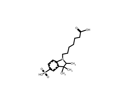 CC1N(CCCCCCC(=O)O)c2ccc(S(=O)(=O)O)cc2C1(C)C